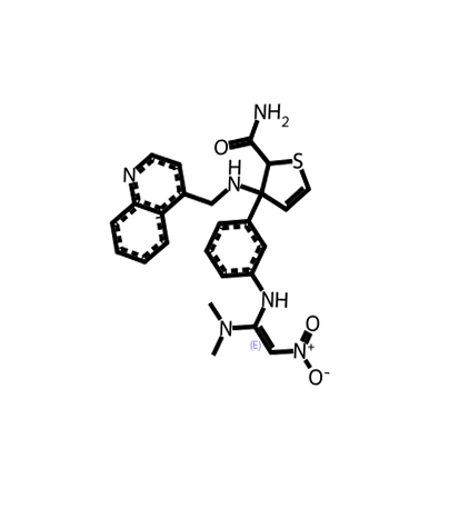 CN(C)/C(=C/[N+](=O)[O-])Nc1cccc(C2(NCc3ccnc4ccccc34)C=CSC2C(N)=O)c1